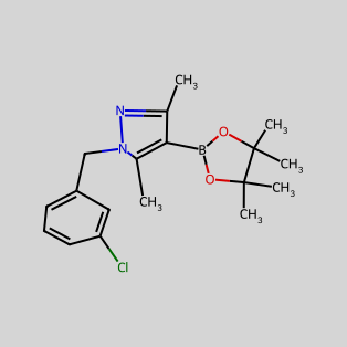 Cc1nn(Cc2cccc(Cl)c2)c(C)c1B1OC(C)(C)C(C)(C)O1